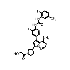 Nc1ncnn2c(C3CCN(C(=O)CO)C3)cc(-c3ccc(NC(=O)Nc4cc(C(F)(F)F)ccc4F)c(F)c3)c12